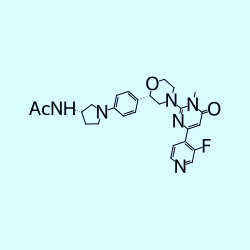 CC(=O)N[C@H]1CCN(c2ccc([C@H]3CN(c4nc(-c5ccncc5F)cc(=O)n4C)CCO3)cc2)C1